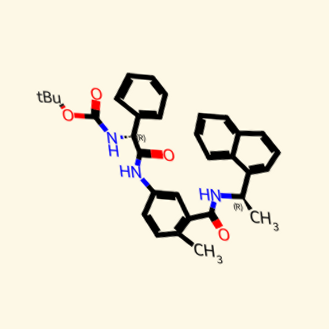 Cc1ccc(NC(=O)[C@H](NC(=O)OC(C)(C)C)c2ccccc2)cc1C(=O)N[C@H](C)c1cccc2ccccc12